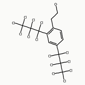 [O]CCc1ccc(C(Cl)(Cl)C(Cl)(Cl)C(Cl)(Cl)Cl)cc1C(Cl)(Cl)C(Cl)(Cl)C(Cl)(Cl)Cl